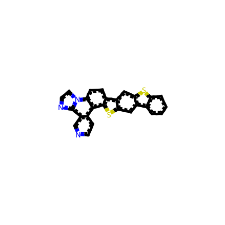 c1ccc2c(c1)sc1cc3c(cc12)sc1c3ccc2c1c1ccncc1c1nccn21